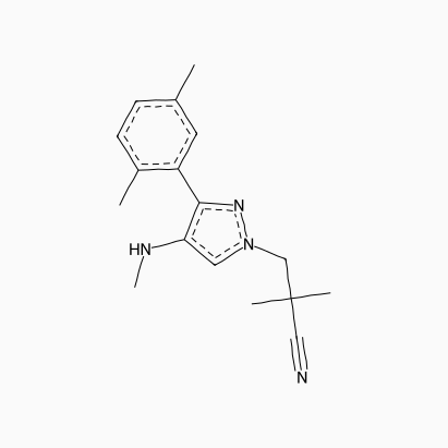 CNc1cn(CC(C)(C)C#N)nc1-c1cc(C)ccc1C